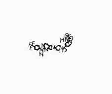 C[C@@H]1C[C@@H](N2CC3=C(C2)N=C(Nc2ccc(C(F)(F)F)cc2)N=CC3)CCN1C(=O)c1ccnc(NS(C)(=O)=O)c1